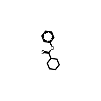 S=C(Oc1ccccc1)C1CCCCC1